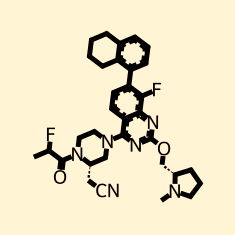 CC(F)C(=O)N1CCN(c2nc(OC[C@@H]3CCCN3C)nc3c(F)c(-c4cccc5c4CCCC5)ccc23)C[C@@H]1CC#N